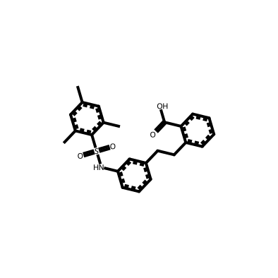 Cc1cc(C)c(S(=O)(=O)Nc2cccc(CCc3ccccc3C(=O)O)c2)c(C)c1